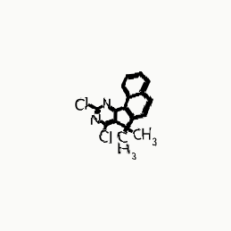 CC1(C)c2ccc3ccccc3c2-c2nc(Cl)nc(Cl)c21